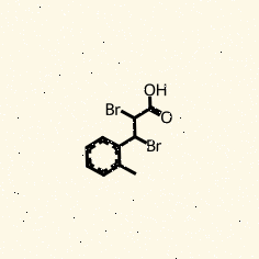 Cc1ccccc1C(Br)C(Br)C(=O)O